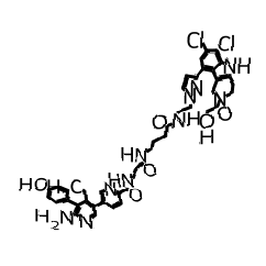 CCc1c(-c2ccc(C(=O)NCCC(=O)NCCCC(=O)NCCn3ccc(-c4cc(Cl)c(Cl)c5[nH]c6c(c45)CN(C(=O)CO)CC6)n3)nc2)cnc(N)c1-c1ccc(O)cc1